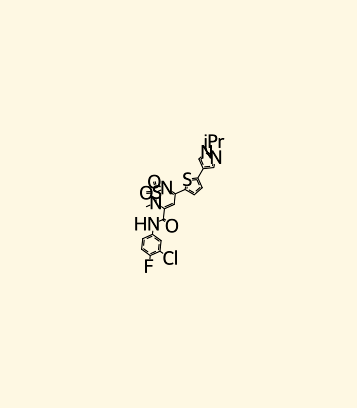 CC(C)n1cc(-c2ccc(C3=NS(=O)(=O)N(C)C(C(=O)Nc4ccc(F)c(Cl)c4)=C3)s2)cn1